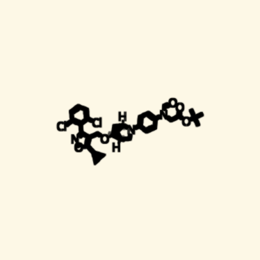 CC(C)(C)OC(=O)CN(C=O)c1ccc(N2C[C@@H]3C[C@H]2C[C@H]3OCc2c(-c3c(Cl)cccc3Cl)noc2C2CC2)cc1